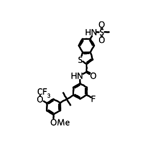 COc1cc(OC(F)(F)F)cc(C(C)(C)c2cc(F)cc(NC(=O)c3cc4cc(NS(C)(=O)=O)ccc4s3)c2)c1